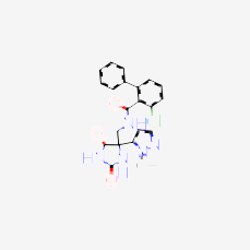 Cn1nccc1C1(CNC(=O)c2c(Cl)cccc2-c2ccccc2)NC(=O)NC1=O